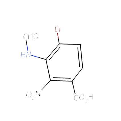 O=CNc1c(Br)ccc(C(=O)O)c1[N+](=O)[O-]